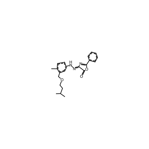 Cc1ccc(NN=C2N=C(c3ccccc3)OC2=O)cc1COCCC(C)C